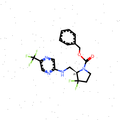 O=C(OCc1ccccc1)N1CCC(F)(F)[C@H]1CNc1cnc(C(F)(F)F)cn1